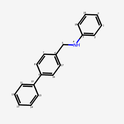 c1ccc(NCc2ccc(-c3ccccc3)cc2)cc1